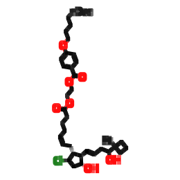 CCCCCCCCCCCCCCOc1ccc(C(=O)OCCOC(=O)CCC/C=C\C[C@@H]2[C@@H](/C=C/C[C@H](O)C3(CC)CCC3)[C@H](O)C[C@H]2Cl)cc1